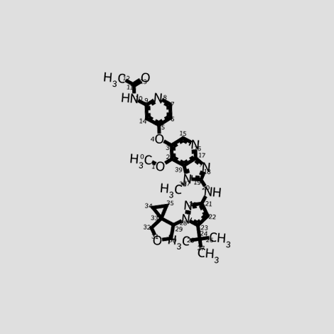 COc1c(Oc2ccnc(NC(C)=O)c2)cnc2nc(Nc3cc(C(C)(C)C)n(C4COCC45CC5)n3)n(C)c12